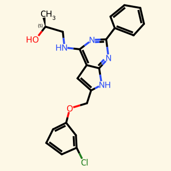 C[C@H](O)CNc1nc(-c2ccccc2)nc2[nH]c(COc3cccc(Cl)c3)cc12